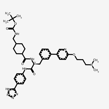 CN(C)CCCOc1ccc(-c2cccc(C[C@H](NC(=O)C3CCC(CNC(=O)OC(C)(C)C)CC3)C(=O)Nc3ccc(-c4nnn[nH]4)cc3)c2)cn1